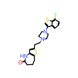 O=C1CCCc2sc(CCN3CCN(c4csc5c(F)cccc45)CC3)cc2N1